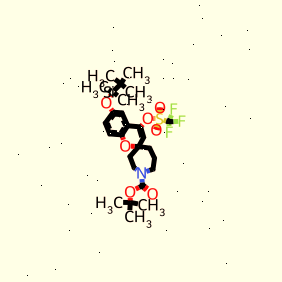 CC(C)(C)OC(=O)N1CCCC2(C=C(OS(=O)(=O)C(F)(F)F)c3cc(O[Si](C)(C)C(C)(C)C)ccc3O2)CC1